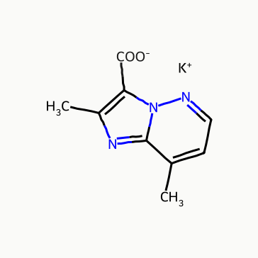 Cc1nc2c(C)ccnn2c1C(=O)[O-].[K+]